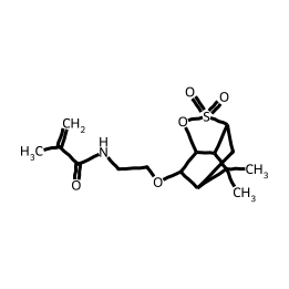 C=C(C)C(=O)NCCOC1C2OS(=O)(=O)C3CC1C(C)(C)C23